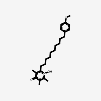 COc1ccc(CCCCCCCCCCc2c(C)c(=O)c(C)c(C)n2O)cc1